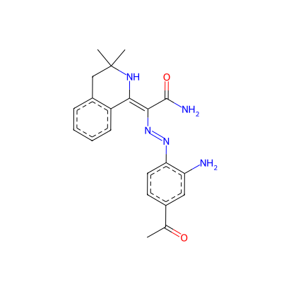 CC(=O)c1ccc(N=NC(C(N)=O)=C2NC(C)(C)Cc3ccccc32)c(N)c1